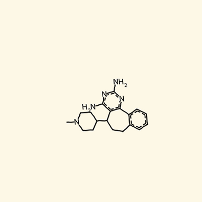 CN1CCC(C2CCc3ccccc3-c3nc(N)nc(N)c32)CC1